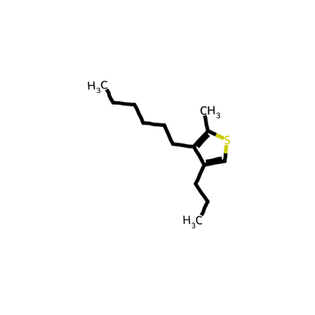 CCCCCCc1c(CCC)csc1C